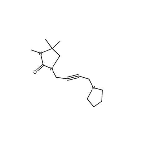 CN1C(=O)N(CC#CCN2CCCC2)CC1(C)C